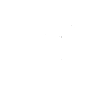 Cl.NCc1cc(=O)c2cc(-c3ccc(F)cc3Cl)ccc2[nH]1